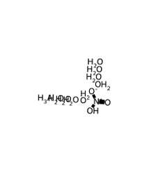 O.O.O.O.O.O.O.O.O=[N+]([O-])O.[AlH3]